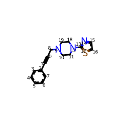 C(#Cc1ccccc1)CN1CCN(c2nccs2)CC1